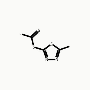 [CH2]C(=S)Sc1nnc(C)s1